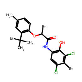 CCc1c(Cl)cc(NC(=O)C(CC)Oc2ccc(C)cc2C(C)(C)CC)c(O)c1Cl